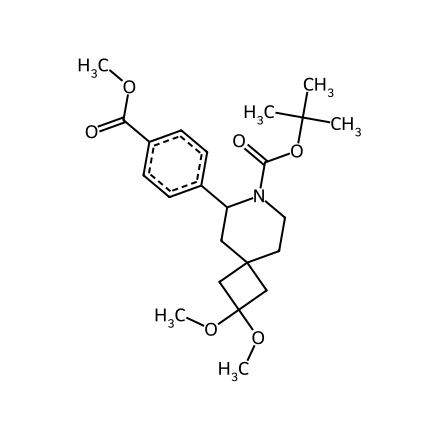 COC(=O)c1ccc(C2CC3(CCN2C(=O)OC(C)(C)C)CC(OC)(OC)C3)cc1